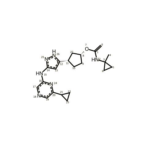 C=C(NC1(C)CC1)O[C@@H]1CC[C@H](c2cc(Nc3cncc(C4CC4)n3)n[nH]2)C1